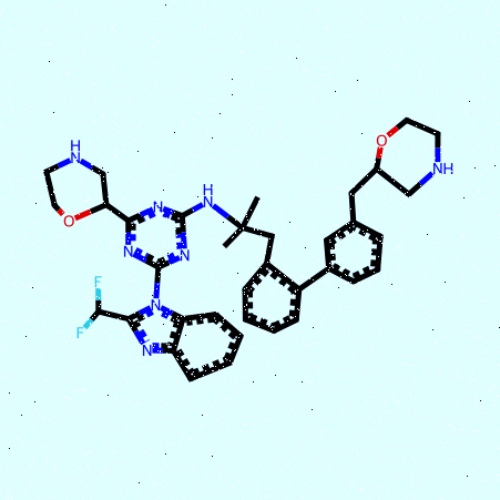 CC(C)(Cc1ccccc1-c1cccc(CC2CNCCO2)c1)Nc1nc(C2CNCCO2)nc(-n2c(C(F)F)nc3ccccc32)n1